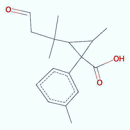 Cc1cccc(C2(C(=O)O)C(C)C2C(C)(C)CC=O)c1